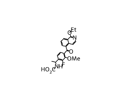 CCOc1nccc2c(C(=O)c3ccc(C(C)NC(=O)O)c(F)c3OC)cccc12